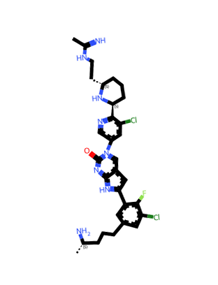 CC(=N)NCC[C@@H]1CCC[C@@H](c2ncc(-n3cc4cc(-c5cc(CCC[C@H](C)N)cc(Cl)c5F)[nH]c4nc3=O)cc2Cl)N1